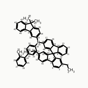 CCc1ccc2c(c1)C1(c3ccccc3-c3ccc(N(c4ccc(-c5ccccc5C)cc4)c4ccc5c(c4)-c4ccccc4C5(C)C)cc31)c1cc(CC)ccc1-2